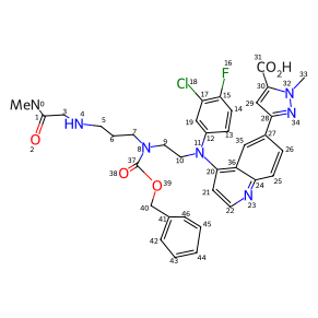 CNC(=O)CNCCCN(CCN(c1ccc(F)c(Cl)c1)c1ccnc2ccc(-c3cc(C(=O)O)n(C)n3)cc12)C(=O)OCc1ccccc1